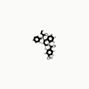 CCC(=O)N(c1ccccc1)[C@H]1C[C@@H](C)N(C(=O)c2ccc(O)cc2)c2ccccc21